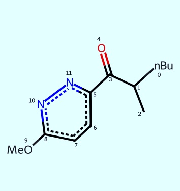 CCCCC(C)C(=O)c1ccc(OC)nn1